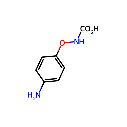 Nc1ccc(ONC(=O)O)cc1